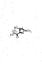 CCN(C)C(=O)c1nn(C)cc1Br